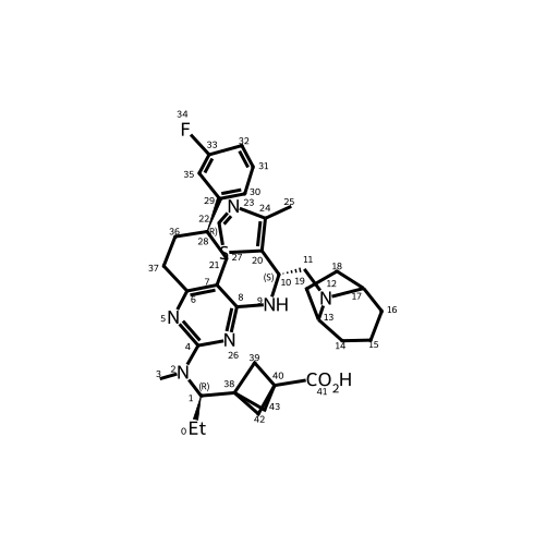 CC[C@@H](N(C)c1nc2c(c(N[C@@H](CN3C4CCCC3CC4)c3scnc3C)n1)C[C@H](c1cccc(F)c1)CC2)C12CC(C(=O)O)(C1)C2